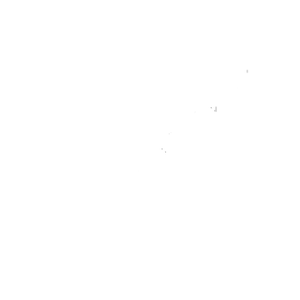 COc1cc2c3c(c1)c(O)c(C(=O)NCC(=O)O)c(=O)n3CC(c1ccc(C(F)(F)F)cc1)O2